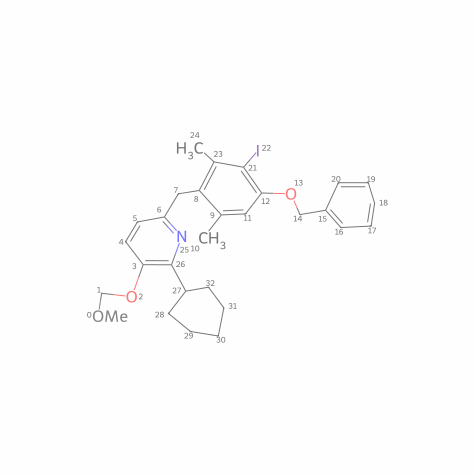 COCOc1ccc(Cc2c(C)cc(OCc3ccccc3)c(I)c2C)nc1C1CCCCC1